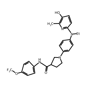 CCN(c1ccc(N2CCC(C(=O)Nc3ccc(OC(F)(F)F)cc3)C2)cc1)c1ccc(O)c(C)n1